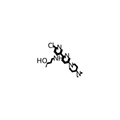 C[C@@H](O)CCNc1cc(Cl)ncc1-c1ccc(N2CCC(N(C)C)CC2)cn1